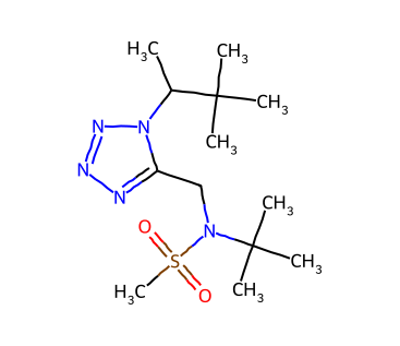 CC(n1nnnc1CN(C(C)(C)C)S(C)(=O)=O)C(C)(C)C